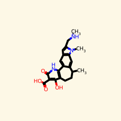 CNCc1cc2cc3c(cc2n1C)C(C)CCc1c-3[nH]c(=O)c(C(=O)O)c1O